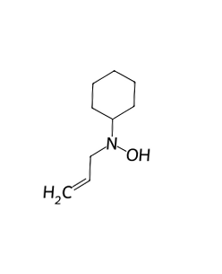 C=CCN(O)C1CCCCC1